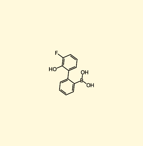 OB(O)c1ccccc1-c1cccc(F)c1O